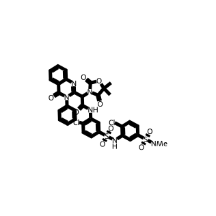 CNS(=O)(=O)c1ccc(Cl)c(NS(=O)(=O)c2ccc(Cl)c(NC(=O)C(c3nc4ccccc4c(=O)n3-c3ccccc3)N3C(=O)OC(C)(C)C3=O)c2)c1